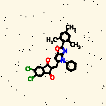 Cc1cc(C)c(-c2nc3c(cc(C=C4C(=O)c5cc(Cl)c(Cl)cc5C4=O)n3-c3ccccc3)o2)c(C)c1